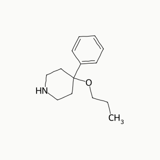 CCCOC1(c2ccccc2)CCNCC1